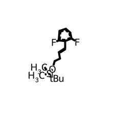 CC(C)(C)[Si](C)(C)OCCC=Cc1c(F)cccc1F